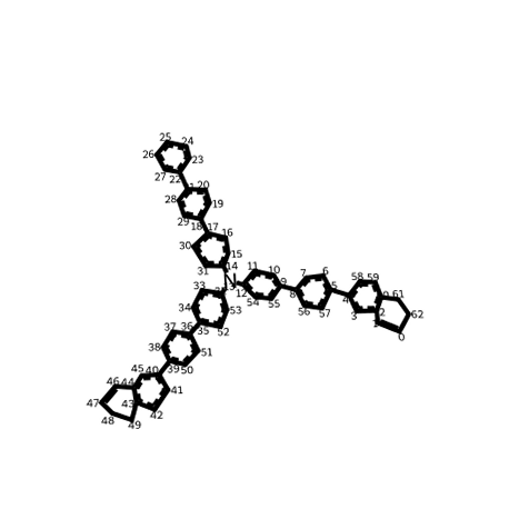 C1=Cc2cc(-c3ccc(-c4ccc(N(c5ccc(-c6ccc(-c7ccccc7)cc6)cc5)c5ccc(-c6ccc(-c7ccc8c(c7)C=CCC8)cc6)cc5)cc4)cc3)ccc2CC1